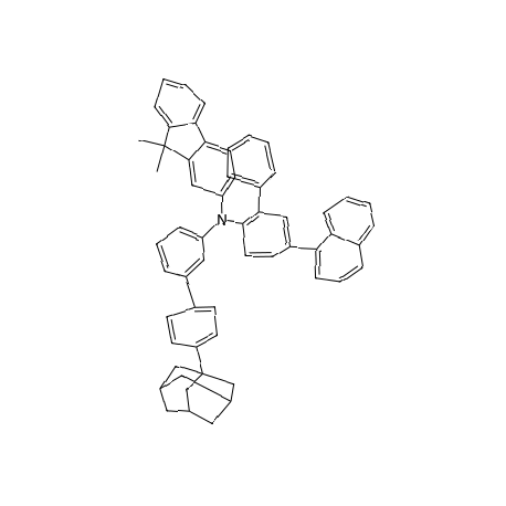 CC1(C)c2ccccc2-c2ccc(N(c3cccc(-c4ccc(C56CC7CC(CC(C7)C5)C6)cc4)c3)c3ccc(-c4cccc5ccccc45)cc3-c3ccccc3)cc21